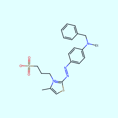 CCN(Cc1ccccc1)c1ccc(/N=N/c2scc(C)[n+]2CCCS(=O)(=O)[O-])cc1